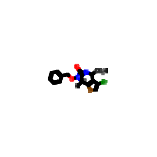 O=C(O)C1c2c(Br)csc2[C@H]2CN1C(=O)N2OCc1ccccc1